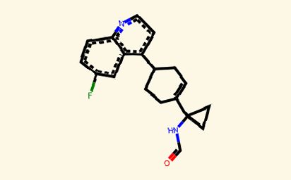 O=CNC1(C2=CCC(c3ccnc4ccc(F)cc34)CC2)CC1